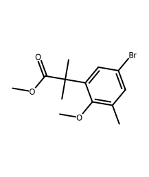 COC(=O)C(C)(C)c1cc(Br)cc(C)c1OC